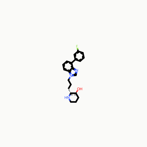 O[C@H]1CCCN[C@@H]1CCCn1cnc2c(-c3cccc(F)c3)cccc21